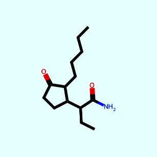 CCCCCC1C(=O)CCC1C(CC)C(N)=O